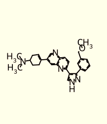 COCc1cccc(-c2n[nH]cc2-c2ccc3ncc(C4=CCC(N(C)C)CC4)cc3n2)c1